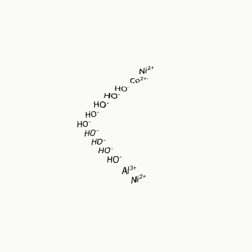 [Al+3].[Co+2].[Ni+2].[Ni+2].[OH-].[OH-].[OH-].[OH-].[OH-].[OH-].[OH-].[OH-].[OH-]